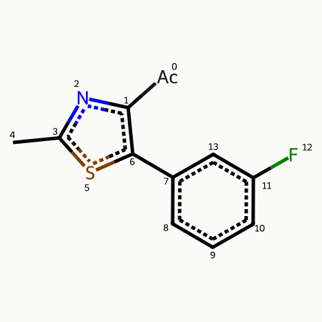 CC(=O)c1nc(C)sc1-c1cccc(F)c1